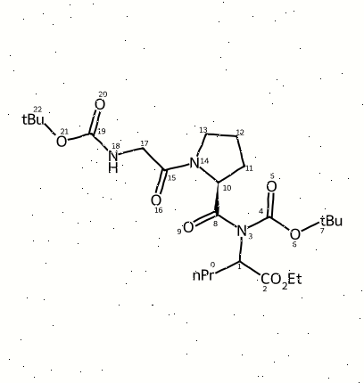 CCCC(C(=O)OCC)N(C(=O)OC(C)(C)C)C(=O)[C@@H]1CCCN1C(=O)CNC(=O)OC(C)(C)C